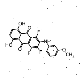 COc1cccc(Nc2c(F)c(F)c3c(c2F)C(=O)c2c(O)ccc(O)c2C3=O)c1